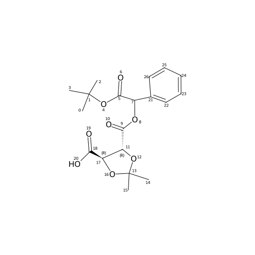 CC(C)(C)OC(=O)C(OC(=O)[C@@H]1OC(C)(C)O[C@H]1C(=O)O)c1ccccc1